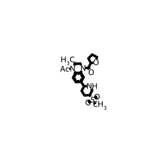 CC(=O)N1c2ccc(C3CCC(S(C)(=O)=O)CN3)cc2N(C(=O)C2CCCO2)C[C@@H]1C